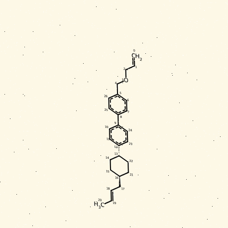 C=CCOCc1ccc(-c2ccc([C@H]3CC[C@H](CC=CC)CC3)cc2)cc1